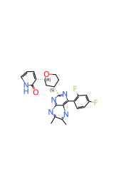 Cc1nc2nc([C@H]3CCO[C@@H](c4ccc[nH]c4=O)C3)nc(-c3ccc(F)cc3F)c2nc1C